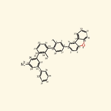 Cc1cc(-c2ccc3oc4ccccc4c3c2)ccc1-c1cccc(-c2cc(C#N)cc(-c3ccccc3)c2)c1C